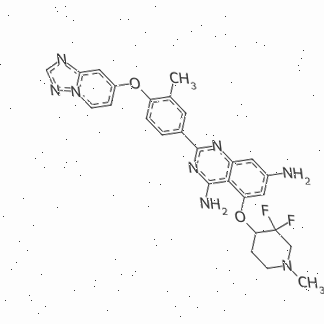 Cc1cc(-c2nc(N)c3c(OC4CCN(C)CC4(F)F)cc(N)cc3n2)ccc1Oc1ccn2ncnc2c1